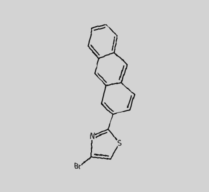 Brc1csc(-c2ccc3cc4ccccc4cc3c2)n1